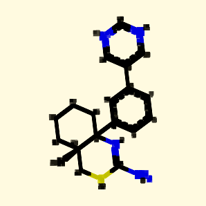 NC1=NC2(c3cccc(-c4cncnc4)c3)CCCC[C@H]2CS1